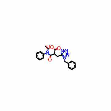 CCN(C(=O)C(Cc1nnnn1Cc1ccccc1)C(=O)O)c1ccccc1